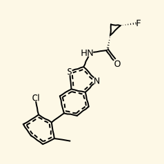 Cc1cccc(Cl)c1-c1ccc2nc(NC(=O)[C@@H]3C[C@@H]3F)sc2c1